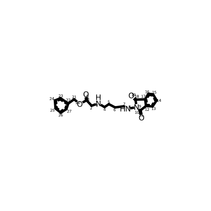 O=C(CNCCCCNN1C(=O)c2ccccc2C1=O)OCc1ccccc1